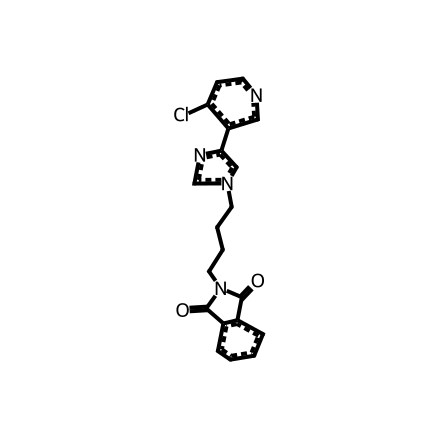 O=C1c2ccccc2C(=O)N1CCCCn1cnc(-c2cnccc2Cl)c1